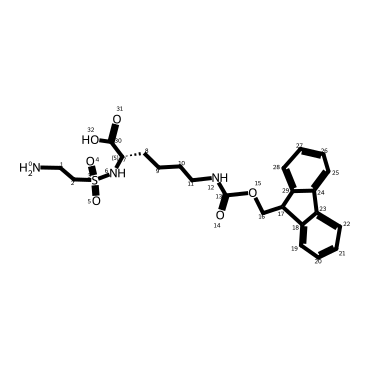 NCCS(=O)(=O)N[C@@H](CCCCNC(=O)OCC1c2ccccc2-c2ccccc21)C(=O)O